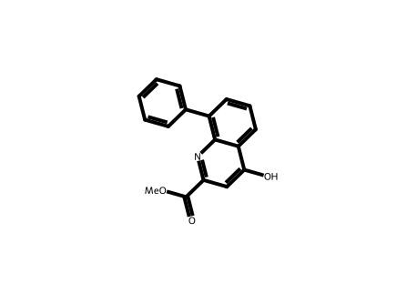 COC(=O)c1cc(O)c2cccc(-c3ccccc3)c2n1